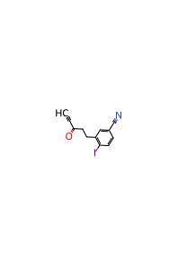 C#CC(=O)CCc1cc(C#N)ccc1I